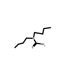 CCCCN(CCCC)C(N)=S